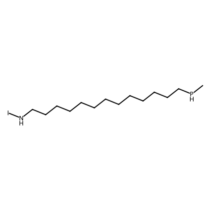 CPCCCCCCCCCCCCCNI